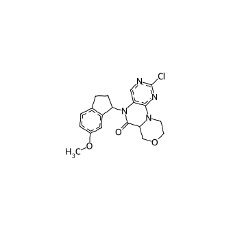 COc1ccc2c(c1)C(N1C(=O)C3COCCN3c3nc(Cl)ncc31)CC2